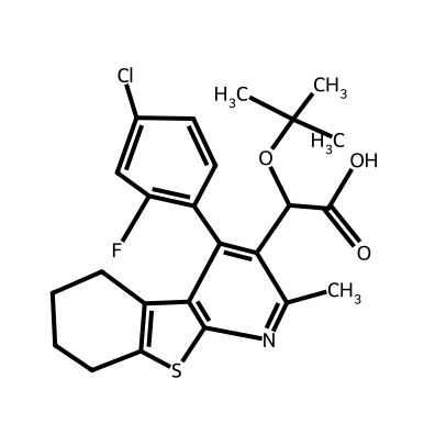 Cc1nc2sc3c(c2c(-c2ccc(Cl)cc2F)c1C(OC(C)(C)C)C(=O)O)CCCC3